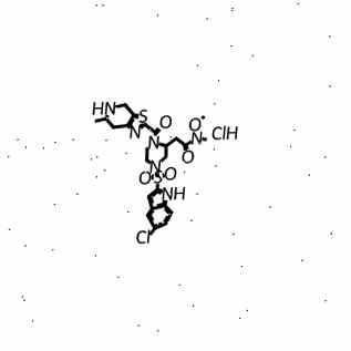 CON(C)C(=O)CC1CN(S(=O)(=O)c2cc3cc(Cl)ccc3[nH]2)CCN1C(=O)c1nc2c(s1)CNC(C)C2.Cl